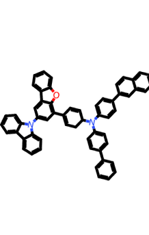 C1=CC(N(c2ccc(-c3ccccc3)cc2)c2ccc(-c3ccc4ccccc4c3)cc2)CC=C1c1cc(-n2c3ccccc3c3ccccc32)cc2c1oc1ccccc12